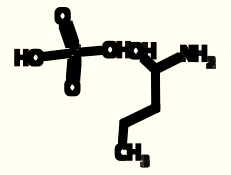 CCCC(N)O.O=S(=O)(O)O